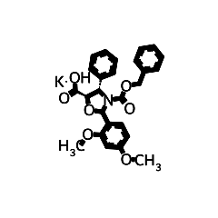 COc1ccc(C2O[C@@H](C(=O)O)[C@H](c3ccccc3)N2C(=O)OCc2ccccc2)c(OC)c1.[K]